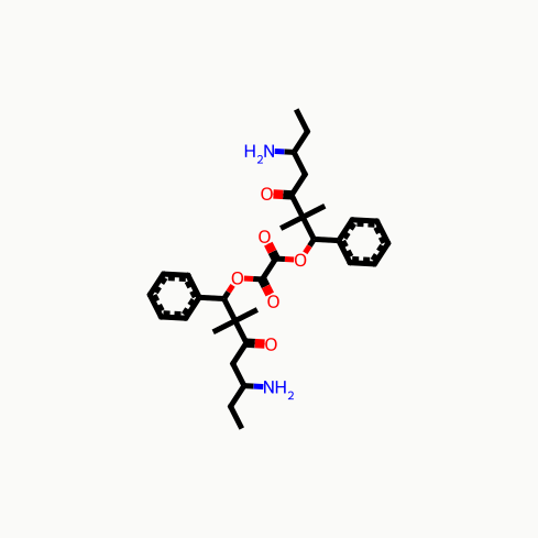 CCC(N)CC(=O)C(C)(C)C(OC(=O)C(=O)OC(c1ccccc1)C(C)(C)C(=O)CC(N)CC)c1ccccc1